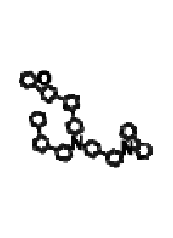 c1ccc(-c2cccc(-c3cccc(N(c4ccc(-c5cccc(-c6ccc7c(c6)oc6ccccc67)c5)cc4)c4ccc(-c5cccc(-n6c7ccccc7c7ccccc76)c5)cc4)c3)c2)cc1